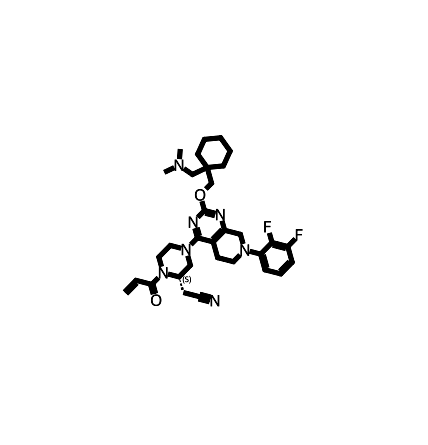 C=CC(=O)N1CCN(c2nc(OCC3(CN(C)C)CCCCC3)nc3c2CCN(c2cccc(F)c2F)C3)C[C@@H]1CC#N